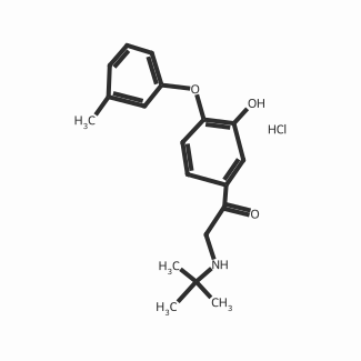 Cc1cccc(Oc2ccc(C(=O)CNC(C)(C)C)cc2O)c1.Cl